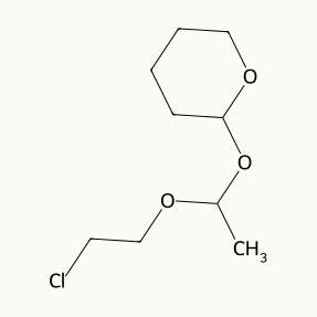 CC(OCCCl)OC1CCCCO1